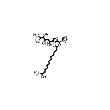 CC(C)CCCCCCCCCCCC(=O)OC(c1cnco1)c1nc(C(O)CC(O)C(O)C(C)O)co1